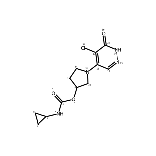 O=C(NC1CC1)OC1CCN(c2cn[nH]c(=O)c2Cl)C1